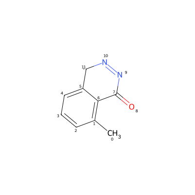 Cc1cccc2c1C(=O)N=N[CH]2